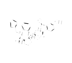 Cc1ccc2c(c1)C(=O)N(CC(=O)N1c3ccccc3N(Cc3ccccc3)C(=O)[C@H]3CCC[C@H]31)C2=O